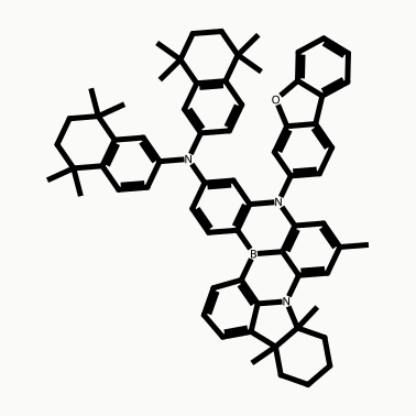 Cc1cc2c3c(c1)N1c4c(cccc4C4(C)CCCCC14C)B3c1ccc(N(c3ccc4c(c3)C(C)(C)CCC4(C)C)c3ccc4c(c3)C(C)(C)CCC4(C)C)cc1N2c1ccc2c(c1)oc1ccccc12